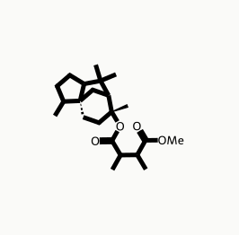 COC(=O)C(C)C(C)C(=O)O[C@]1(C)CC[C@@]23CC1C(C)(C)C2CCC3C